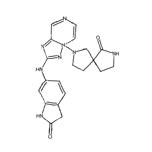 O=C1Cc2ccc(NC3=N[N+]4(N5CCC6(CCNC6=O)C5)C=CN=CC4=N3)cc2N1